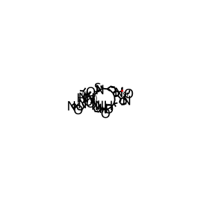 CCn1c(-c2cccnc2[C@H](C)OC)c2c3cc(ccc31)-c1csc(n1)C[C@H](NC(=O)[C@H](C(C)C)N(C)C(=O)N1CCOC3(CN(C)C3)C1)C(=O)N1CCC[C@H](N1)C(=O)OCC(C)(C)C2